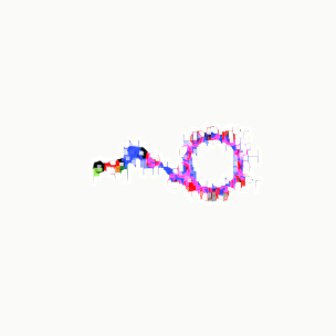 CC[C@@H]1NC(=O)[C@H]([C@H](O)[C@H](C)CCCC(=O)NCCNCc2ccc(-c3ccc4ncnc(Nc5ccc(OCc6cccc(F)c6)c(Cl)c5)c4c3)o2)N(C)C(=O)[C@H](C(C)C)N(C)C(=O)[C@H](CC(C)C)N(C)C(=O)[C@H](CC(C)C)N(C)C(=O)[C@@H](C)NC(=O)[C@H](C)NC(=O)[C@H](CC(C)C)N(C)C(=O)C(C(C)C)NC(=O)[C@H](CC(C)C)N(C)C(=O)CN(C)C1=O